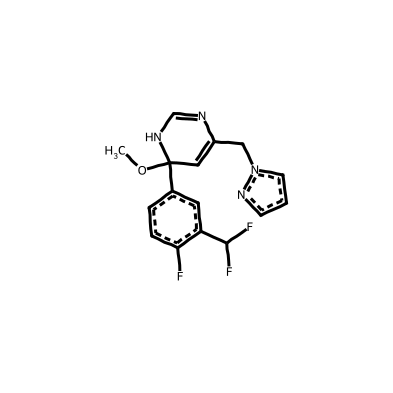 COC1(c2ccc(F)c(C(F)F)c2)C=C(Cn2cccn2)N=CN1